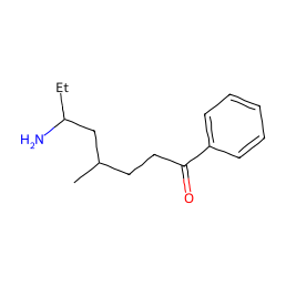 CCC(N)CC(C)CCC(=O)c1ccccc1